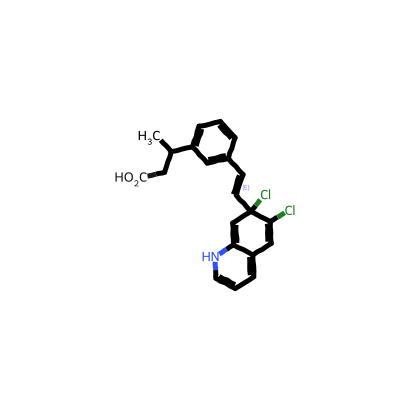 CC(CC(=O)O)c1cccc(/C=C/C2(Cl)C=C3NC=CC=C3C=C2Cl)c1